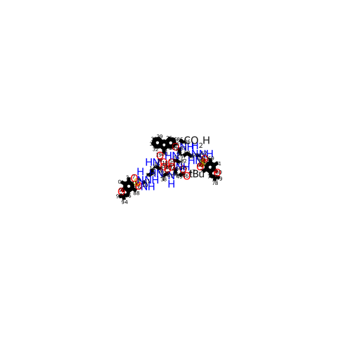 Cc1c(C)c(S(=O)(=O)NC(=N)NCCC[C@H](NC(=O)OCC2c3ccccc3-c3ccccc32)C(=O)N[C@@H](C)C(=O)N[C@@H](CC(=O)OC(C)(C)C)C(=O)N[C@@H](C)C(=O)N[C@@H](CCCNC(=N)NS(=O)(=O)c2c(C)c(C)c3c(c2C)CC(C)(C)O3)C(=O)N[C@@H](C)C(=O)O)c(C)c2c1OC(C)(C)C2